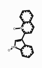 [O-][n+]1c(C2=[C][NH+]([O-])c3ccccc32)ccc2ccccc21